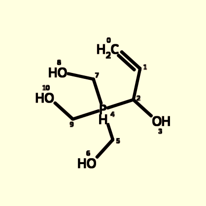 C=CC(O)[PH](CO)(CO)CO